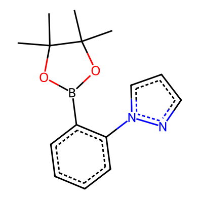 CC1(C)OB(c2ccccc2-n2cccn2)OC1(C)C